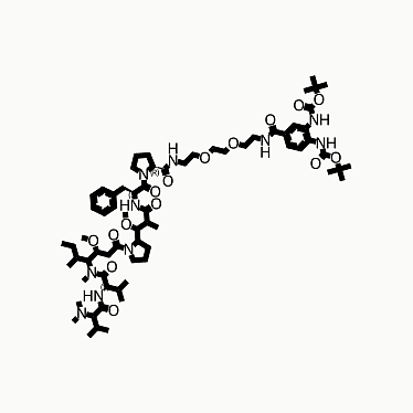 CCC(C)C(C(CC(=O)N1CCCC1C(OC)C(C)C(=O)N[C@@H](Cc1ccccc1)C(=O)N1CCC[C@@H]1C(=O)NCCOCCOCCNC(=O)c1ccc(NC(=O)OC(C)(C)C)c(NC(=O)OC(C)(C)C)c1)OC)N(C)C(=O)[C@@H](NC(=O)C(C(C)C)N(C)C)C(C)C